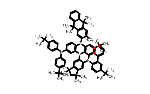 Cc1cc2c(cc1N1c3ccc(N(c4ccc(C(C)(C)C)cc4)c4ccc(C(C)(C)C)cc4)cc3B3c4cc5c(cc4N(c4ccc(C(C)(C)C)cc4-c4ccccc4)c4cc(C(C)(C)C)cc1c43)C(C)(C)CC5(C)C)C(C)(C)c1ccccc1C2(C)C